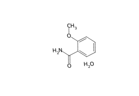 COc1ccccc1C(N)=O.O